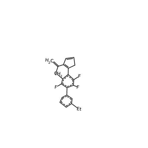 C=C(C)C1=C(c2c(F)c(F)c(-c3cccc(CC)c3)c(F)c2F)CC=C1